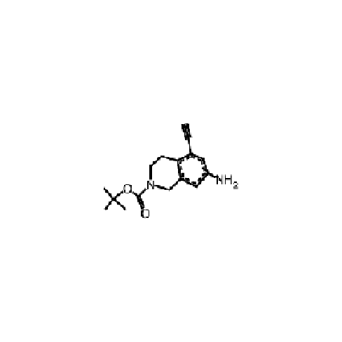 C#Cc1cc(N)cc2c1CCN(C(=O)OC(C)(C)C)C2